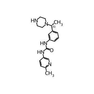 Cc1ccc(NC(=O)Nc2cccc([C@H](C)N3CCNCC3)c2)cn1